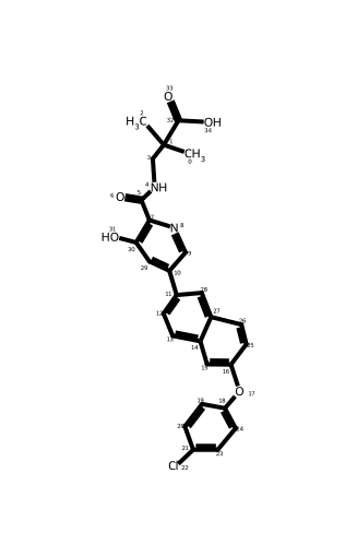 CC(C)(CNC(=O)c1ncc(-c2ccc3cc(Oc4ccc(Cl)cc4)ccc3c2)cc1O)C(=O)O